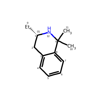 CC[C@H]1Cc2ccccc2C(C)(C)N1